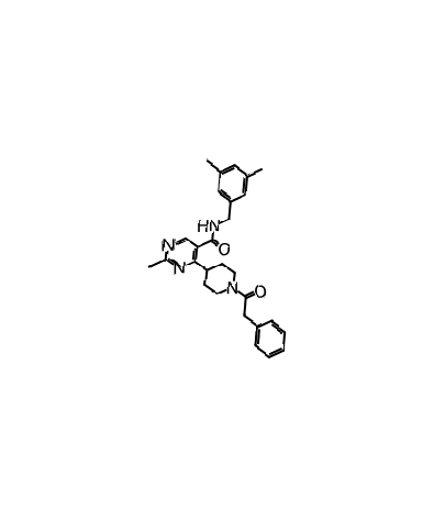 Cc1cc(C)cc(CNC(=O)c2cnc(C)nc2C2CCN(C(=O)Cc3ccccc3)CC2)c1